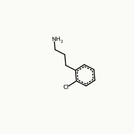 NCCCc1ccccc1Cl